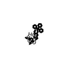 CCOC(=O)CC(C(=O)OCC)n1ccc(C=C2CN(C(c3ccccc3)(c3ccccc3)c3ccccc3)CCC2O)n1